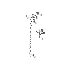 CCCCCCCCCCCCCCCCCCC(C)(C)OC(N)=S.NC(O)=S.[Zn]